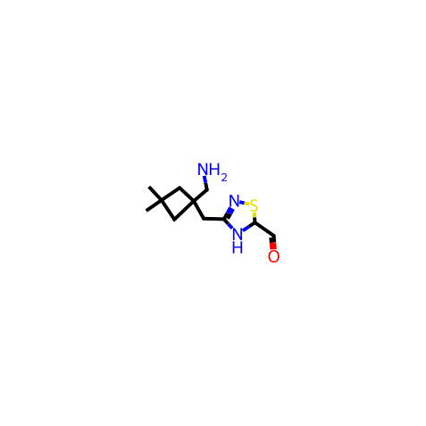 CC1(C)CC(CN)(CC2=NSC(C=O)N2)C1